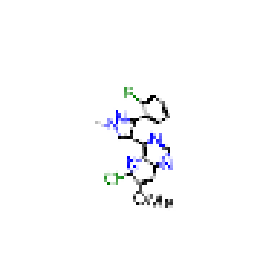 COc1cc2ncnc(-c3cn(C)nc3-c3ccccc3F)c2nc1Cl